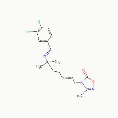 Cc1noc(=O)n1C/C=C/CCC(C)(C)N=Cc1ccc(Cl)c(Cl)c1